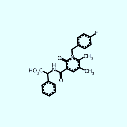 Cc1cc(C(=O)NC(C(=O)O)c2ccccc2)c(=O)n(Cc2ccc(F)cc2)c1C